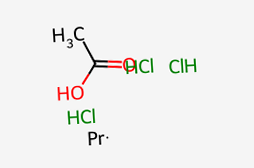 CC(=O)O.Cl.Cl.Cl.[Pr]